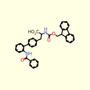 O=C(NC(Cc1ccc(-c2ccccc2NC(=O)c2ccccc2)cc1)C(=O)O)OCC1c2ccccc2-c2ccccc21